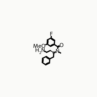 COc1cc(F)cc(C(=O)N(C)[C@H](CCN)Cc2ccccc2)c1